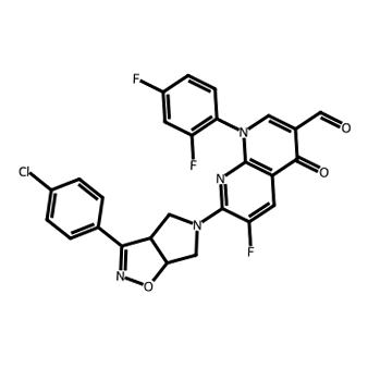 O=Cc1cn(-c2ccc(F)cc2F)c2nc(N3CC4ON=C(c5ccc(Cl)cc5)C4C3)c(F)cc2c1=O